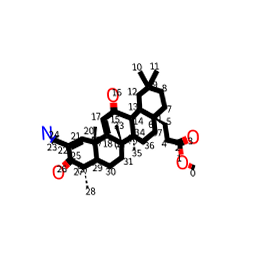 COC(=O)CC[C@]12CCC(C)(C)CC1C1C(=O)C=C3[C@@]4(C)C=C(C#N)C(=O)[C@@H](C)C4CC[C@@]3(C)[C@]1(C)CC2